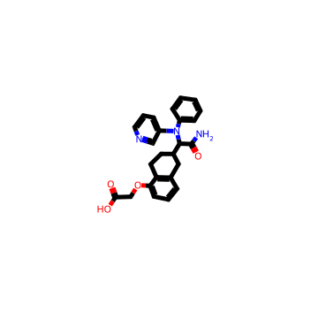 NC(=O)C(C1CCc2c(cccc2OCC(=O)O)C1)N(c1ccccc1)c1cccnc1